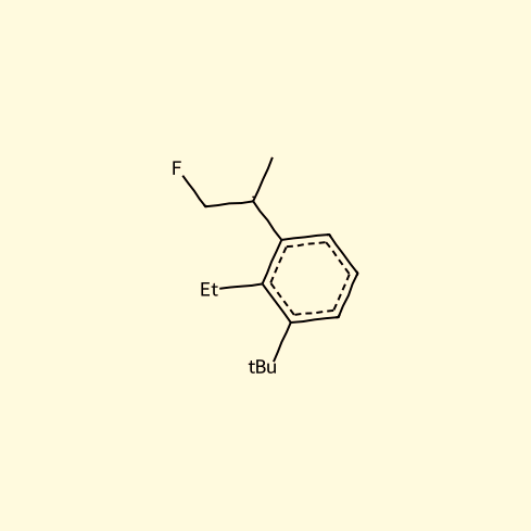 CCc1c([C](C)CF)cccc1C(C)(C)C